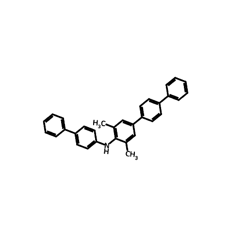 Cc1cc(-c2ccc(-c3ccccc3)cc2)cc(C)c1Nc1ccc(-c2ccccc2)cc1